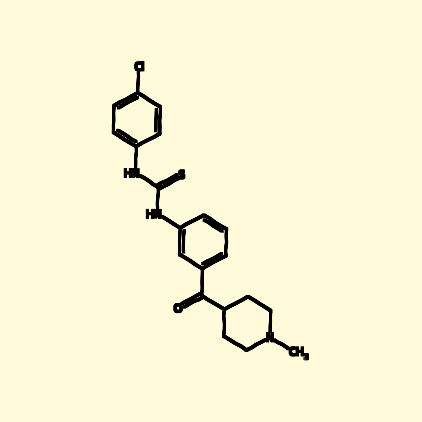 CN1CCC(C(=O)c2cccc(NC(=S)Nc3ccc(Cl)cc3)c2)CC1